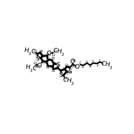 CCCCCCCCOC(=O)c1cc2c(-c3cc4cc5c(OCC)c6sc(C)cc6c(OCC)c5cc4s3)sc(C)c2s1